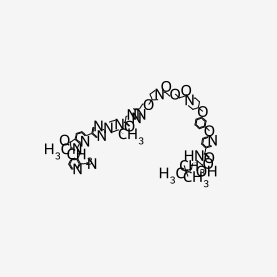 C[C@@H]1CN(c2ncc(-c3ccc4c(n3)N(Cc3cccnc3C#N)C(C)(C)C4=O)cn2)CCN1C(=O)Cn1cc(COC2CCN(C(=O)COCC(=O)N3CCC(Oc4cccc(Oc5ccc(C(=O)N[C@@H](CCC(C)(C)C)C(=O)O)cn5)c4)CC3)C2)nn1